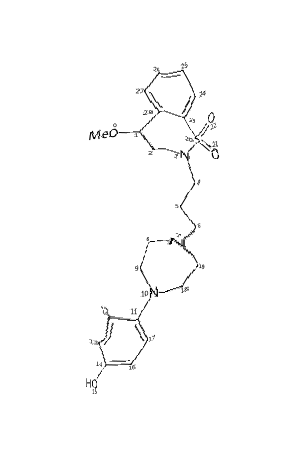 COC1CN(CCCN2CCN(c3ccc(O)cc3)CC2)S(=O)(=O)c2ccccc21